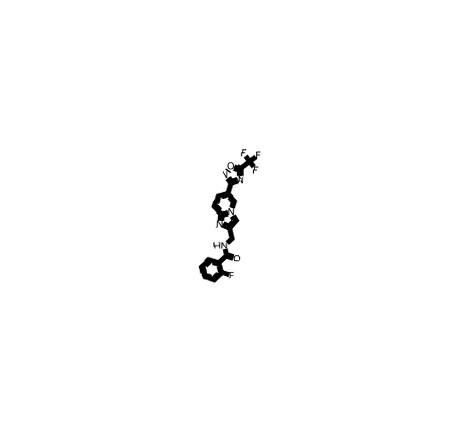 O=C(NCc1cn2cc(-c3noc(C(F)(F)F)n3)ccc2n1)c1ccccc1F